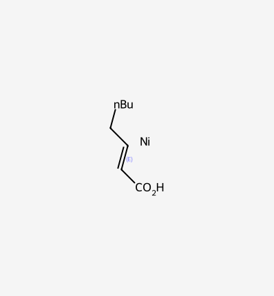 CCCCC/C=C/C(=O)O.[Ni]